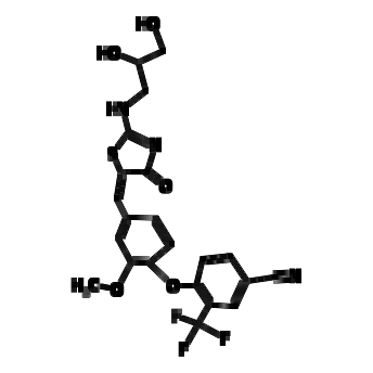 COc1cc(/C=C2/SC(NCC(O)CO)=NC2=O)ccc1Oc1ccc(C#N)cc1C(F)(F)F